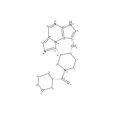 C[C@@H]1CCN(C(=O)[C@H]2CCCOC2)C[C@@H]1c1ncc2cnc3[nH]ccc3n12